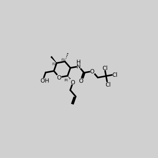 C=CCO[C@@H]1OC(CO)[C@@H](C)[C@H](C)C1NC(=O)OCC(Cl)(Cl)Cl